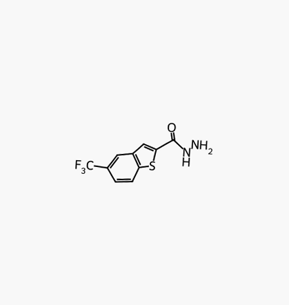 NNC(=O)c1cc2cc(C(F)(F)F)ccc2s1